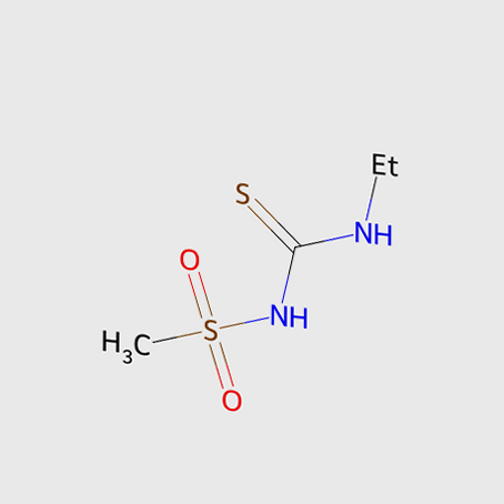 CCNC(=S)NS(C)(=O)=O